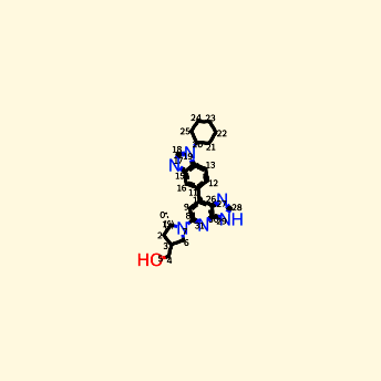 C[C@H]1CC(CO)CN1c1cc(-c2ccc3c(c2)ncn3C2CCCCC2)c2nc[nH]c2n1